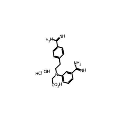 Cl.Cl.N=C(N)c1ccc(CCN(CC(=O)O)c2cccc(C(=N)N)c2)cc1